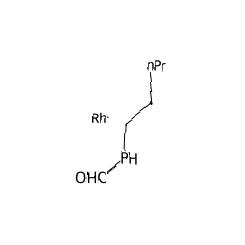 CCCCCPC=O.[Rh]